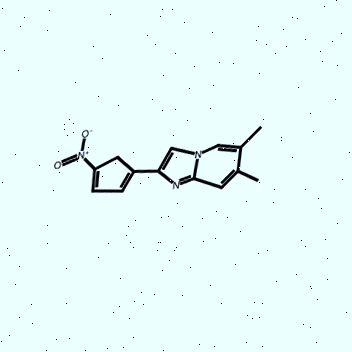 Cc1cc2nc(C3=CC=C([N+](=O)[O-])C3)cn2cc1C